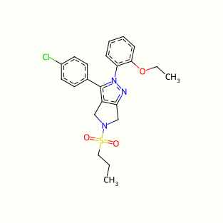 CCCS(=O)(=O)N1Cc2nn(-c3ccccc3OCC)c(-c3ccc(Cl)cc3)c2C1